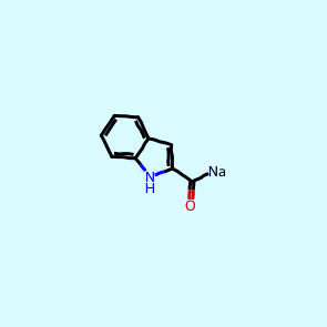 O=[C]([Na])c1cc2ccccc2[nH]1